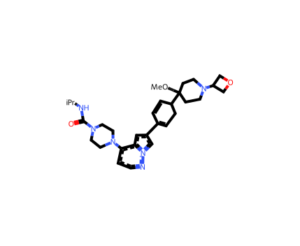 COC1(C2C=CC(c3cc4c(N5CCN(C(=O)NC(C)C)CC5)ccnn4c3)=CC2)CCN(C2COC2)CC1